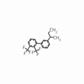 [CH2]CC(C)c1cccc(-c2cccc(C(F)(F)F)c2C(F)(F)F)c1